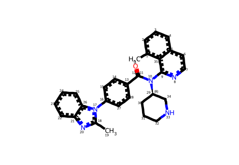 Cc1cccc2ccnc(N(C(=O)c3ccc(-n4c(C)nc5ccccc54)cc3)[C@@H]3CCCNC3)c12